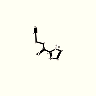 C#CCCC(=O)c1ncc[nH]1